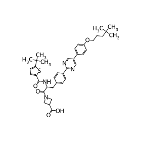 CC(C)(C)CCCOc1ccc(-c2cnc(-c3ccc(C[C@H](NC(=O)c4ccc(C(C)(C)C)s4)C(=O)N4CC(C(=O)O)C4)cc3)nc2)cc1